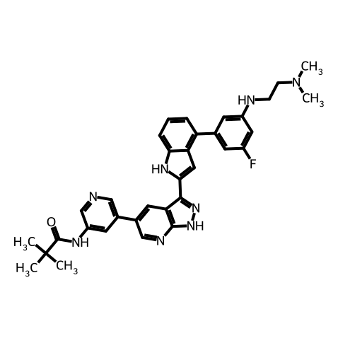 CN(C)CCNc1cc(F)cc(-c2cccc3[nH]c(-c4n[nH]c5ncc(-c6cncc(NC(=O)C(C)(C)C)c6)cc45)cc23)c1